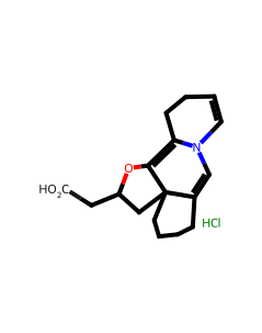 Cl.O=C(O)CC1CC23CCCCC2=CN2C=CCCC2=C3O1